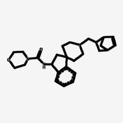 O=C(NC1CC2(CCN(CC3CC4C=CC3C4)CC2)c2ccccc21)N1CCOCC1